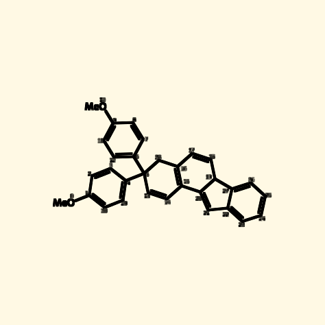 COc1ccc(C2(c3ccc(OC)cc3)C=CC3=C(C=CC4C3=Cc3ccccc34)C2)cc1